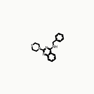 c1ccc(CNc2nc(N3CCSCC3)nc3ccccc23)cc1